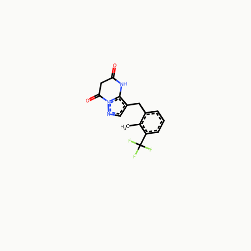 Cc1c(Cc2cnn3c2NC(=O)CC3=O)cccc1C(F)(F)F